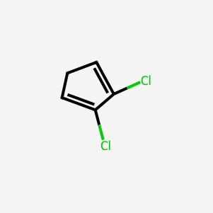 ClC1=CCC=C1Cl